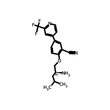 CC(C)C[C@H](N)COc1ccc(-c2ccnc(C(F)(F)F)c2)cc1C#N